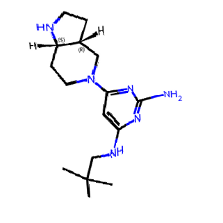 CC(C)(C)CNc1cc(N2CC[C@@H]3NCC[C@@H]3C2)nc(N)n1